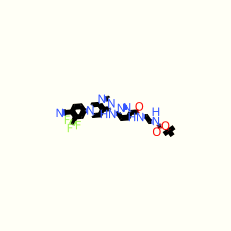 CC(C)(C)OC(=O)NCCNC(=O)c1ccc(Nc2ncnc3c2CCN(c2ccc(C#N)c(C(F)(F)F)c2)C3)nn1